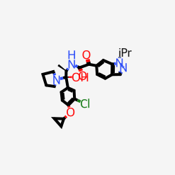 CC(C)n1ncc2ccc(C(=O)C(=O)N[C@H](C)[C@](O)(c3ccc(OC4CC4)c(Cl)c3)N3CCCC3)cc21